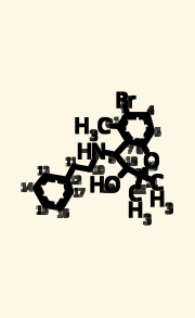 Cc1c(Br)ccc2c1C(NCCc1ccccc1)C(O)C(C)(C)O2